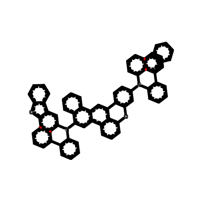 c1ccc(-c2ccccc2N(c2ccc3oc4ccccc4c3c2)c2cc3c4cccc5c4c(cc3c3ccccc23)-c2ccc(N(c3ccccc3-c3ccccc3)c3cccc4c3oc3ccccc34)cc2O5)cc1